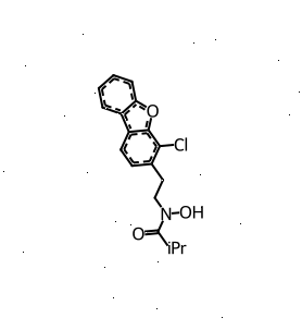 CC(C)C(=O)N(O)CCc1ccc2c(oc3ccccc32)c1Cl